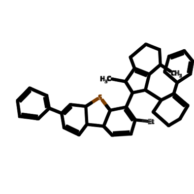 CCC1=C(C2C(C)C3=C(C(C)CCC3)C2C2CCCC=C2C2C=CC=CC2)C2SC3C=C(c4ccccc4)C=CC3C2C=C1